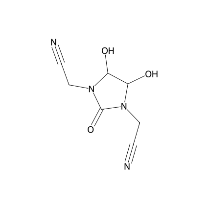 N#CCN1C(=O)N(CC#N)C(O)C1O